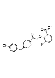 O=C(COc1c(F)cccc1[N+](=O)[O-])N1CCN(Cc2ccc(Cl)cc2)CC1